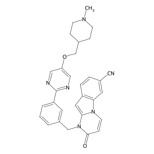 CN1CCC(COc2cnc(-c3cccc(Cn4c(=O)ccn5c6cc(C#N)ccc6cc45)c3)nc2)CC1